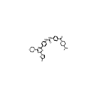 Cc1ccn(-c2nc(-c3ccc(NC(=O)Nc4ccc(C(=O)N5CCC(N(C)C)CC5)cc4)cc3)nc(N3CCOCC3)n2)n1